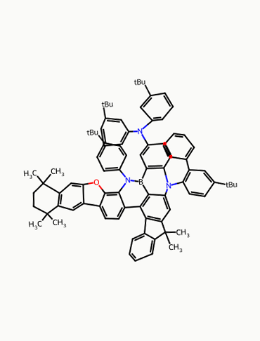 CC(C)(C)c1ccc(N2B3c4cc(N(c5cccc(C(C)(C)C)c5)c5cccc(C(C)(C)C)c5)ccc4N(c4ccc(C(C)(C)C)cc4-c4ccccc4)c4cc5c(c(c43)-c3ccc4c(oc6cc7c(cc64)C(C)(C)CCC7(C)C)c32)-c2ccccc2C5(C)C)cc1